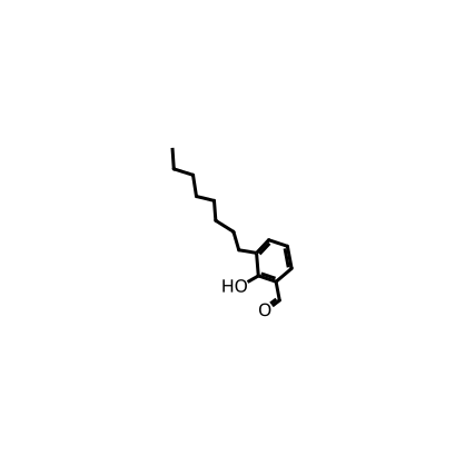 CCCCCCCCc1cccc(C=O)c1O